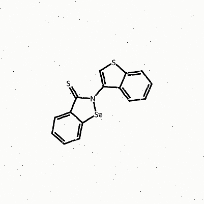 S=c1c2ccccc2[se]n1-c1csc2ccccc12